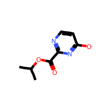 CC(C)OC(=O)c1nccc([O])n1